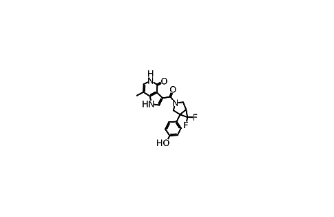 Cc1c[nH]c(=O)c2c(C(=O)N3CC4C(F)(F)C4(c4ccc(O)cc4)C3)c[nH]c12